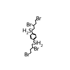 BrCCC(Br)C[SiH2]c1ccc([SiH2]CC(Br)CCBr)cc1